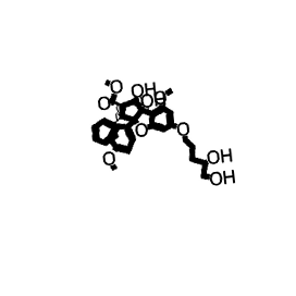 COC(=O)[C@@H]1[C@@H](c2ccccc2)C2(c3ccc(OC)cc3)Oc3cc(OCCCC(O)CO)cc(OC)c3[C@]2(O)[C@@H]1O